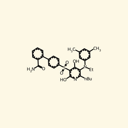 CCCCc1nc(O)c(S(=O)(=O)c2ccc(-c3ccccc3C(N)=O)cc2)c(O)c1N(CC)c1cc(C)cc(C)c1